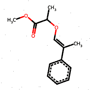 COC(=O)C(C)OC=C(C)c1ccccc1